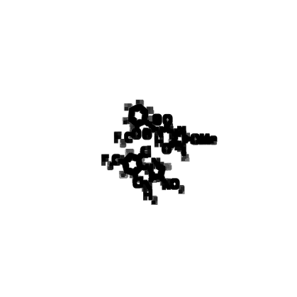 COc1nn(C(=O)NS(=O)(=O)c2ccccc2OC(F)(F)F)c(=O)n1C.Nc1c([N+](=O)[O-])cnn1-c1c(Cl)cc(C(F)(F)F)cc1Cl